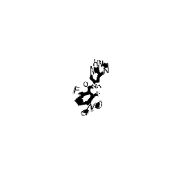 O=C(Nc1cnc2[nH]cnc2c1)c1c(F)ccc([N+](=O)[O-])c1F